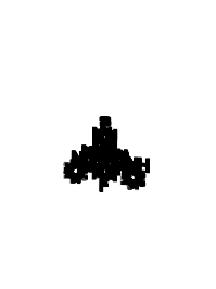 Fc1ccc(C23NC(=Nc4nc5ccccc5[nH]4)NC2(c2ccc(F)cc2)NC(=Nc2nc4ccccc4[nH]2)N3)cc1